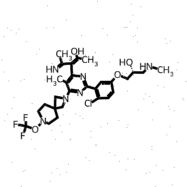 CNC[C@@H](O)COc1ccc(Cl)c(-c2nc(/C(C(C)=N)=C(\C)O)c(C)c(N3CC4(CCN(OC(F)(F)F)CC4)C3)n2)c1